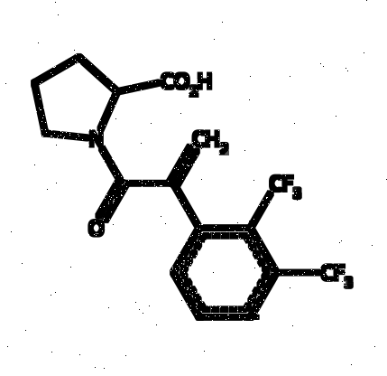 C=C(C(=O)N1CCCC1C(=O)O)c1cc[c]c(C(F)(F)F)c1C(F)(F)F